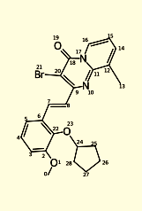 COc1cccc(C=Cc2nc3c(C)cccn3c(=O)c2Br)c1OC1CCCC1